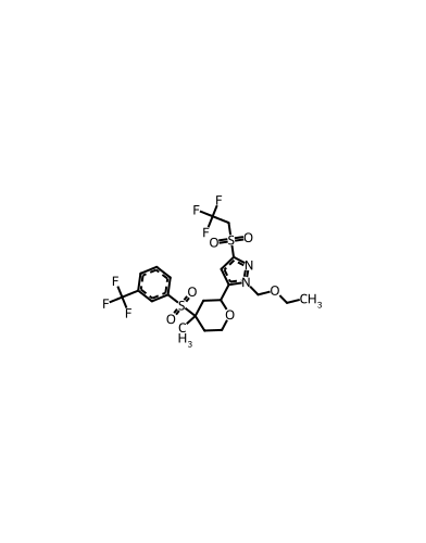 CCOCn1nc(S(=O)(=O)CC(F)(F)F)cc1C1CC(C)(S(=O)(=O)c2cccc(C(F)(F)F)c2)CCO1